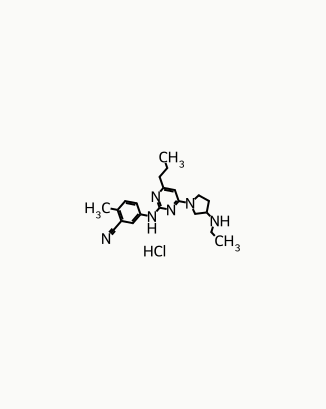 CCCc1cc(N2CCC(NCC)C2)nc(Nc2ccc(C)c(C#N)c2)n1.Cl